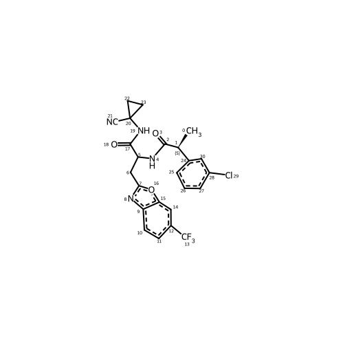 C[C@H](C(=O)NC(Cc1nc2ccc(C(F)(F)F)cc2o1)C(=O)NC1(C#N)CC1)c1cccc(Cl)c1